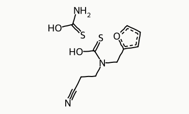 N#CCCN(Cc1ccco1)C(O)=S.NC(O)=S